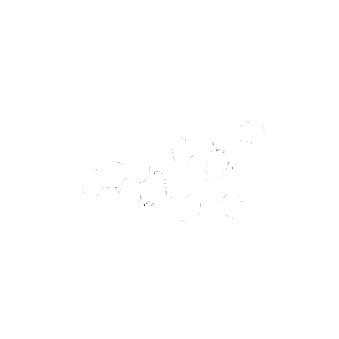 c1ccc(-c2nc(-c3ccccc3)nc(-c3cccc(-c4nc(-c5ccc6ccccc6n5)nc5sc6ccccc6c45)c3)n2)cc1